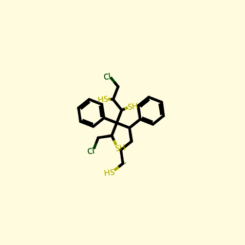 S[CH]CCC(c1ccccc1)C([C](S)C(S)CCl)(c1ccccc1)C(S)CCl